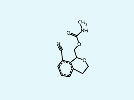 CNC(=O)OCC1OCCc2cccc(C#N)c21